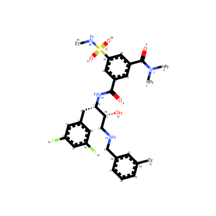 CCCN(CCC)C(=O)c1cc(C(=O)N[C@@H](Cc2cc(F)cc(F)c2)[C@H](O)CNCc2cccc(CC)c2)cc(S(=O)(=O)NCC)c1